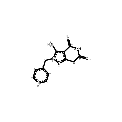 Nc1c2c(nn1Cc1ccncc1)CC(=O)NC2=O